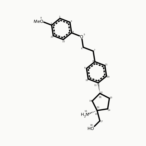 COc1ccc(OCCc2ccc([C@@H]3CC[C@@](N)(CO)C3)cc2)cc1